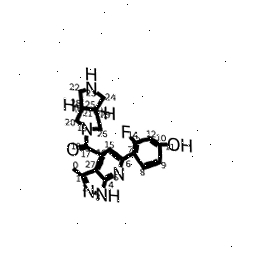 Cc1n[nH]c2nc(-c3ccc(O)cc3F)cc(C(=O)N3C[C@H]4CNC[C@H]4C3)c12